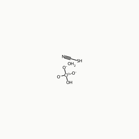 N#CS.O.[O-][Cl+3]([O-])([O-])O